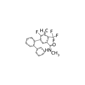 CNC(=O)c1cc(-c2ccccc2-c2ccccc2)c(F)c(C)c1C(F)(F)F